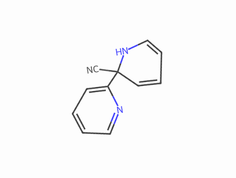 N#CC1(c2ccccn2)C=CC=CN1